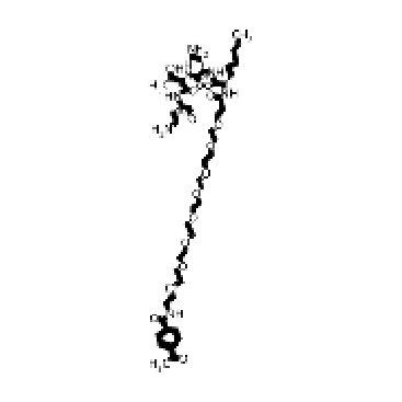 CCCCCC[C@H](NC(=O)CCOCCOCCOCCOCCOCCOCCOCCOCCNC(=O)c1ccc(C(C)=O)cc1)C(=O)N[C@@H](CCN)C(=O)N[C@H](C(=O)N[C@H](C=O)CCN)[C@@H](C)O